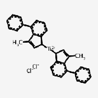 CC1=C[CH]([Ti+2][CH]2C=C(C)c3c(-c4ccccc4)cccc32)c2cccc(-c3ccccc3)c21.[Cl-].[Cl-]